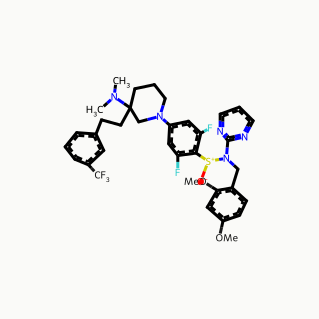 COc1ccc(CN(c2ncccn2)[S+]([O-])c2c(F)cc(N3CCCC(CCc4cccc(C(F)(F)F)c4)(N(C)C)C3)cc2F)c(OC)c1